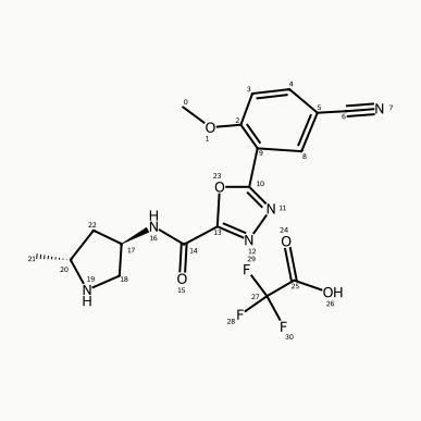 COc1ccc(C#N)cc1-c1nnc(C(=O)N[C@H]2CN[C@H](C)C2)o1.O=C(O)C(F)(F)F